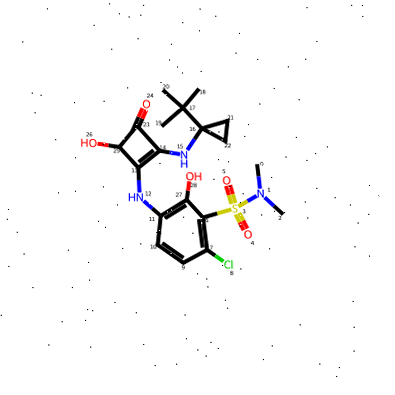 CN(C)S(=O)(=O)c1c(Cl)ccc(NC2=C(NC3(C(C)(C)C)CC3)C(=O)C2O)c1O